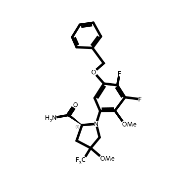 COc1c(N2CC(OC)(C(F)(F)F)C[C@H]2C(N)=O)cc(OCc2ccccc2)c(F)c1F